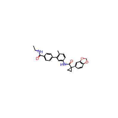 CCNC(=O)c1ccc(-c2cc(NC(=O)C3(c4ccc5c(c4)OCO5)CC3)ccc2C)cc1